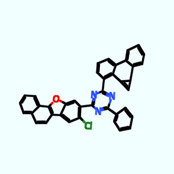 Clc1cc2c(cc1-c1nc(-c3ccccc3)nc(-c3cccc4c3C3=CC3c3ccccc3-4)n1)oc1c3ccccc3ccc21